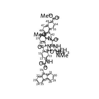 CN[C@@H](C)C(=O)N[C@@H]1NC(C(=O)c2ccc(NC(=O)OCC3c4ccccc4-c4ccccc43)cc2)c2ccccc2N(Cc2c(OC)ccc3cc(C(=O)OC)ccc23)C1=O.Cl